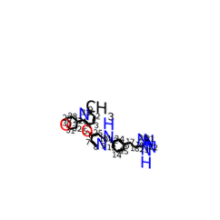 Cc1ccc(Oc2ccnc(Nc3cccc(CCc4nnn[nH]4)c3)c2)c(C2CCOCC2)n1